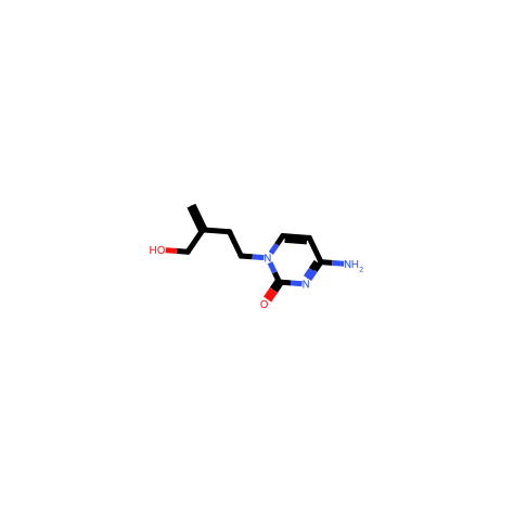 C=C(CO)CCn1ccc(N)nc1=O